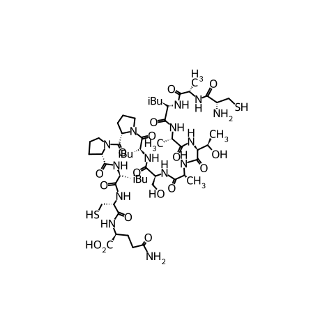 CC[C@H](C)[C@H](NC(=O)[C@H](C)NC(=O)[C@@H](N)CS)C(=O)N[C@@H](C)C(=O)N[C@H](C(=O)N[C@@H](C)C(=O)N[C@@H](CO)C(=O)N[C@H](C(=O)N1CCC[C@H]1C(=O)N1CCC[C@H]1C(=O)N[C@H](C(=O)N[C@@H](CS)C(=O)N[C@@H](CCC(N)=O)C(=O)O)[C@@H](C)CC)[C@@H](C)CC)[C@@H](C)O